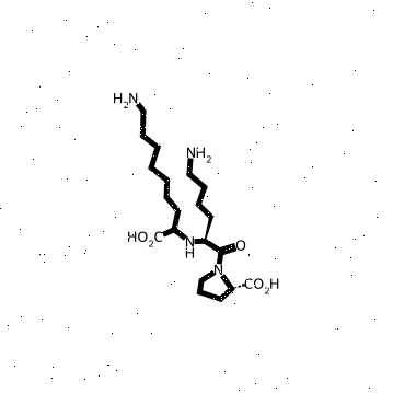 NCCCCCCCC(N[C@@H](CCCCN)C(=O)N1CCC[C@H]1C(=O)O)C(=O)O